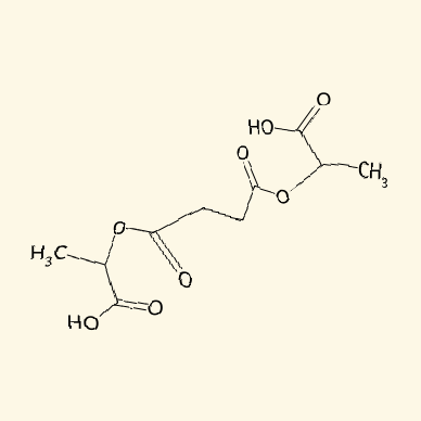 CC(OC(=O)CCC(=O)OC(C)C(=O)O)C(=O)O